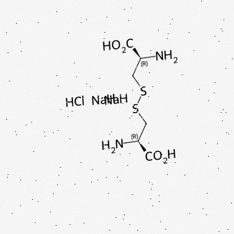 Cl.N[C@@H](CSSC[C@H](N)C(=O)O)C(=O)O.[NaH].[NaH]